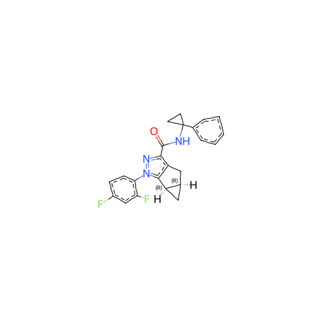 O=C(NC1(c2ccccc2)CC1)c1nn(-c2ccc(F)cc2F)c2c1C[C@H]1C[C@@H]21